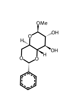 CO[C@@H]1O[C@@H]2CO[C@@H](c3ccccc3)O[C@H]2[C@H](O)[C@H]1O